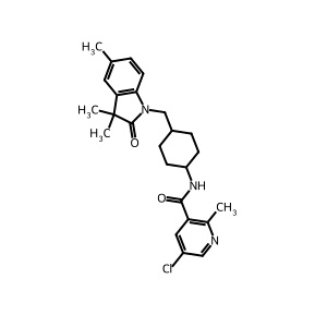 Cc1ccc2c(c1)C(C)(C)C(=O)N2CC1CCC(NC(=O)c2cc(Cl)cnc2C)CC1